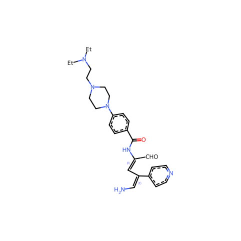 CCN(CC)CCN1CCN(c2ccc(C(=O)N/C(C=O)=C/C(=C\N)c3ccncc3)cc2)CC1